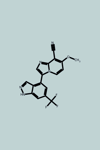 COc1ccn2c(-c3cc(C(F)(F)F)cc4[nH]ncc34)cnc2c1C#N